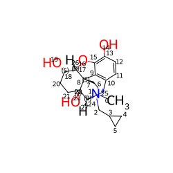 C[N+]1(CC2CC2)CC[C@]23c4c5ccc(O)c4O[C@H]2[C@@H](O)CC[C@@]3(O)[C@H]1C5